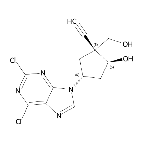 C#C[C@]1(CO)C[C@@H](n2cnc3c(Cl)nc(Cl)nc32)C[C@@H]1O